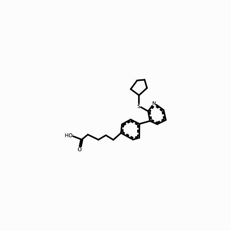 O=C(O)CCCCc1ccc(-c2cccnc2SC2CCCC2)cc1